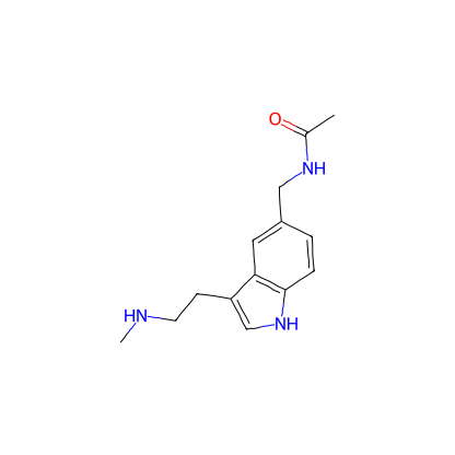 CNCCc1c[nH]c2ccc(CNC(C)=O)cc12